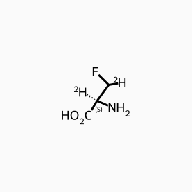 [2H]C(F)[C@@]([2H])(N)C(=O)O